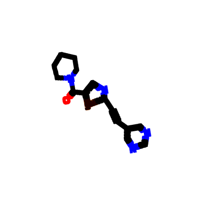 O=C(c1cnc(C#Cc2cncnc2)s1)N1CCCCC1